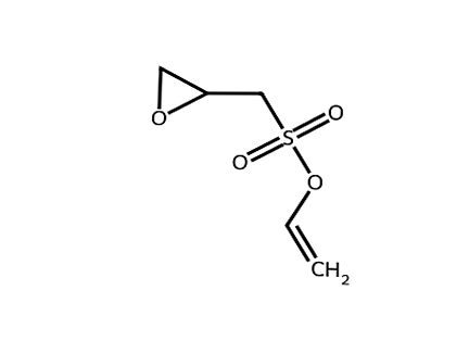 C=COS(=O)(=O)CC1CO1